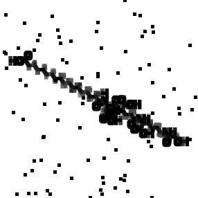 O=C(O)CCCCCCCCCCCCCCCCC(=O)NC(CS(=O)(=O)O)C(=O)NC(CCC(=O)NC(CCCCNC(=O)CO)C(=O)O)C(=O)O